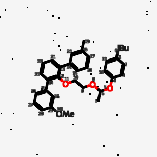 CCC(C)c1ccc(OC(C)OCCOc2c(-c3cccc(C)c3)cccc2-c2cccc(OC)c2)cc1